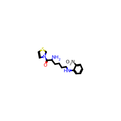 NC(CCCCNc1ccccc1[N+](=O)[O-])C(=O)N1C=CSC1